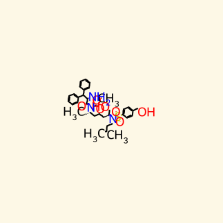 CC[C@@H](CCC[C@@H](CO)N(CCC(C)C)S(=O)(=O)c1ccc(CO)cc1)N(C(=O)OC)C(=O)[C@@H](N)C(c1ccccc1)c1ccccc1